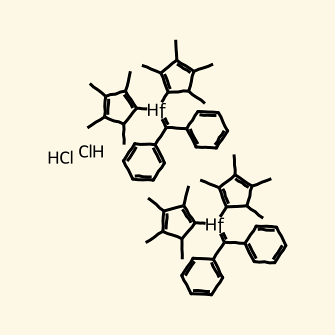 CC1=C(C)C(C)[C]([Hf]([C]2=C(C)C(C)=C(C)C2C)=[C](c2ccccc2)c2ccccc2)=C1C.CC1=C(C)C(C)[C]([Hf]([C]2=C(C)C(C)=C(C)C2C)=[C](c2ccccc2)c2ccccc2)=C1C.Cl.Cl